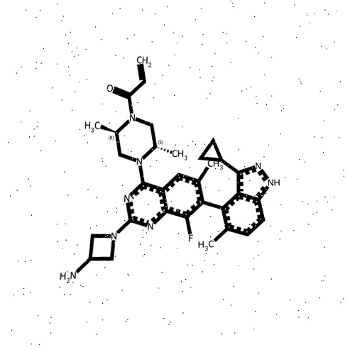 C=CC(=O)N1C[C@H](C)N(c2nc(N3CC(N)C3)nc3c(F)c(-c4c(C)ccc5[nH]nc(C6CC6)c45)c(C)cc23)C[C@H]1C